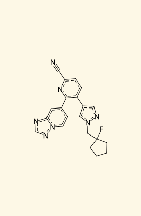 N#Cc1ccc(-c2cnn(CC3(F)CCCC3)c2)c(-c2ccn3ncnc3c2)n1